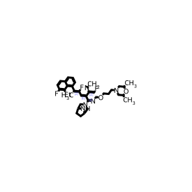 C=NC(=C\F)/C(=C\C(F)=C(/C)c1cccc2ccc(F)c(CC)c12)C(=N\COCCCN1CC(C)OC(C)C1)/N1CC2CCC(C1)N2